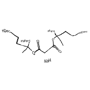 CCCCCCCCCCCCC(C)(CCCCC)OC(=O)CC(=O)OC(C)(CCCCC)CCCCCCCCCCCC.[NaH]